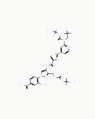 Cc1cc(C(=O)O)ccc1-n1cc(NC(=O)c2coc(-c3ccnc(N(CC(F)(F)F)C(=O)OC(C)(C)C)c3)n2)c(CNC(=O)OC(C)(C)C)n1